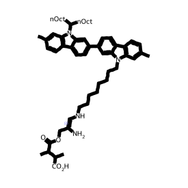 CCCCCCCCC(CCCCCCCC)n1c2cc(C)ccc2c2ccc(-c3ccc4c5ccc(C)cc5n(CCCCCCCCN/C=C(\N)COC(=O)C(C)C(C)C(=O)O)c4c3)cc21